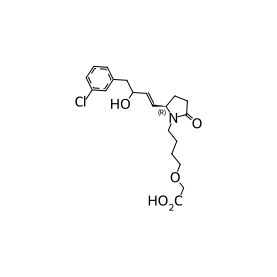 O=C(O)COCCCCN1C(=O)CC[C@@H]1C=CC(O)Cc1cccc(Cl)c1